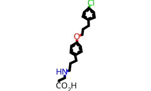 O=C(O)CCNCCCc1ccc(OCCCc2ccc(Cl)cc2)cc1